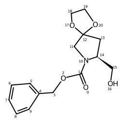 O=C(OCc1ccccc1)N1CC2(C[C@H]1CO)OCCO2